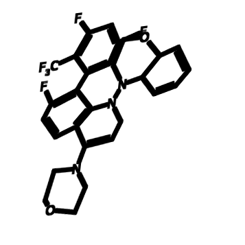 Fc1cc(F)c(C(F)(F)F)c(-c2c(F)ccc3c2N(N2CCOC4C=CC=CC42)CC=C3N2CCOCC2)c1